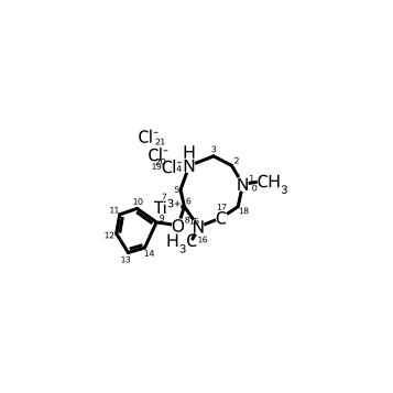 CN1CCNC[C]([Ti+3])(Oc2ccccc2)N(C)CC1.[Cl-].[Cl-].[Cl-]